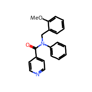 COc1ccccc1CN(C(=O)c1ccncc1)c1ccccc1